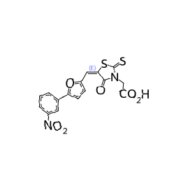 O=C(O)CN1C(=O)/C(=C\c2ccc(-c3cccc([N+](=O)[O-])c3)o2)SC1=S